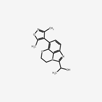 Cc1noc(C)c1-c1ccc2nc(C(C)O)n3c2c1OCC3